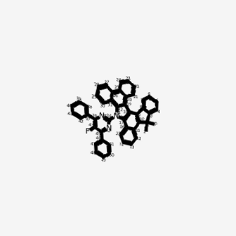 CC1(C)c2ccccc2-c2c1c1ccccc1c1c2c2c3ccccc3c3ccccc3c2n1-c1nc(-c2ccccc2)c(F)c(-c2ccccc2)n1